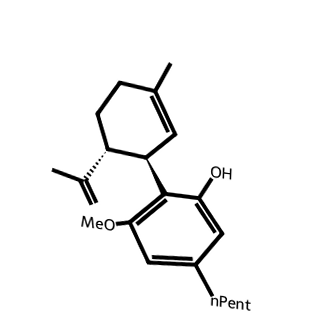 C=C(C)[C@@H]1CCC(C)=C[C@H]1c1c(O)cc(CCCCC)cc1OC